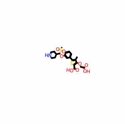 Cc1c(-c2cccc(OC(C3CCNCC3)S(C)(=O)=O)c2)sc(C(=O)O)c1OCC(=O)O